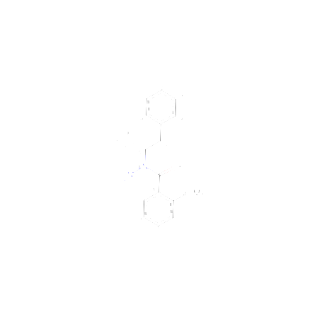 COc1ccccc1C(=O)N(N)[C@@H](Cc1ccccc1)C(=O)O